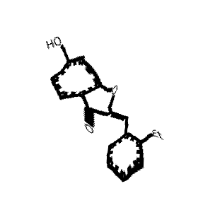 CCc1ccccc1C=C1Oc2cc(O)ccc2C1=O